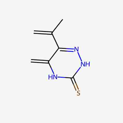 C=C(C)C1=NNC(=S)NC1=C